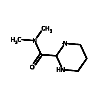 CN(C)C(=O)C1[N]CCCN1